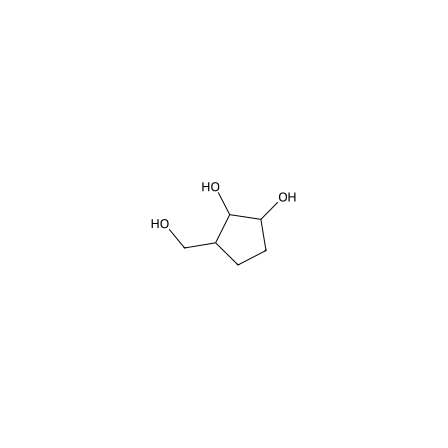 OCC1CCC(O)C1O